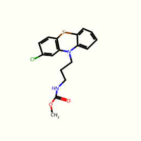 COC(=O)NCCCN1c2ccccc2Sc2ccc(Cl)cc21